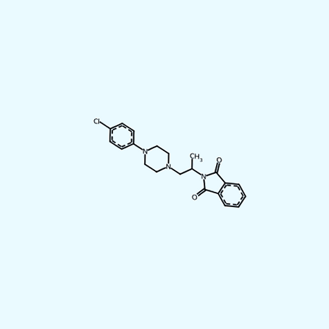 CC(CN1CCN(c2ccc(Cl)cc2)CC1)N1C(=O)c2ccccc2C1=O